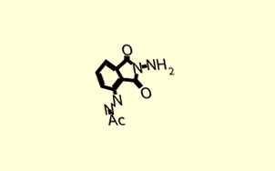 CC(=O)N=Nc1cccc2c1C(=O)N(N)C2=O